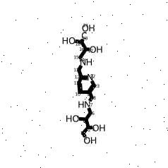 OCC(O)C(O)CNCc1ccc(CNCC(O)C(O)CO)nc1